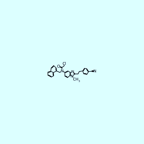 Cn1c(CCc2ccc(C#N)cc2)nc2cc(N(Cc3cccc4ccccc34)C(=O)CCl)ccc21